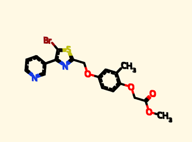 COC(=O)COc1ccc(OCc2nc(-c3cccnc3)c(Br)s2)cc1C